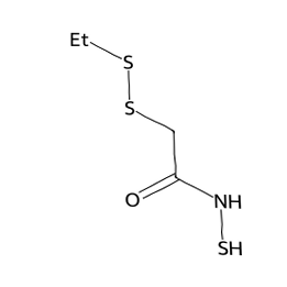 CCSSCC(=O)NS